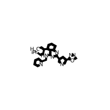 C/C=C(\C=C/C(C)C)c1cccc2nc(-c3cncc(-c4nnco4)c3)nc(NCc3ccccn3)c12